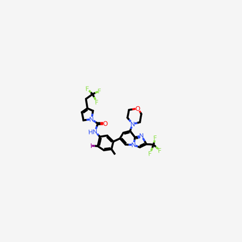 Cc1cc(I)c(NC(=O)N2CC=C(CC(F)(F)F)C2)cc1-c1cc(N2CCOCC2)c2nc(C(F)(F)F)cn2c1